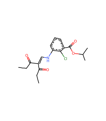 CCC(=O)C(=CNc1cccc(C(=O)OC(C)C)c1Cl)C(=O)CC